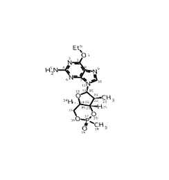 CCOc1nc(N)nc2c1ncn2[C@@H]1O[C@@H]2COP(C)(=O)O[C@H]2[C@@H]1C